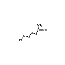 C#[SH](C)OOOOO